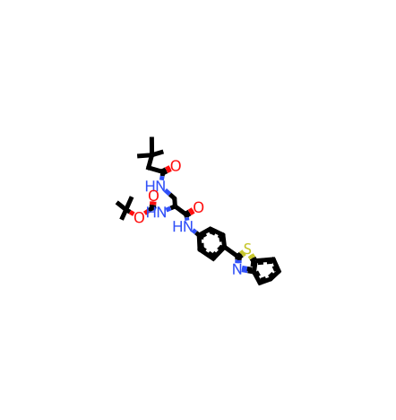 CC(C)(C)CC(=O)NCC(NC(=O)OC(C)(C)C)C(=O)Nc1ccc(-c2nc3ccccc3s2)cc1